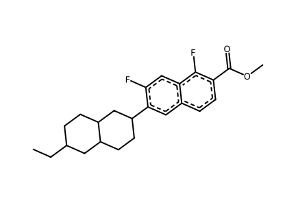 CCC1CCC2CC(c3cc4ccc(C(=O)OC)c(F)c4cc3F)CCC2C1